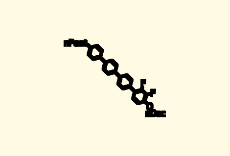 CCCCCCCCCCOc1ccc(-c2ccc(-c3ccc(-c4ccc(CCCCC)cc4)cc3)cc2)c(F)c1F